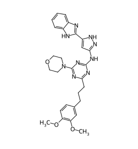 COc1ccc(CCCc2nc(Nc3cc(-c4nc5ccccc5[nH]4)[nH]n3)nc(N3CCOCC3)n2)cc1OC